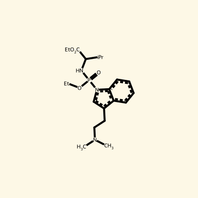 CCOC(=O)C(NP(=O)(OCC)n1cc(CCN(C)C)c2ccccc21)C(C)C